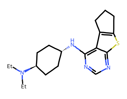 CCN(CC)[C@H]1CC[C@H](Nc2ncnc3sc4c(c23)CCC4)CC1